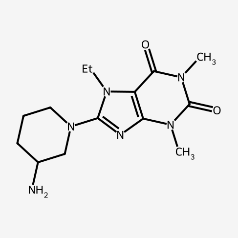 CCn1c(N2CCCC(N)C2)nc2c1c(=O)n(C)c(=O)n2C